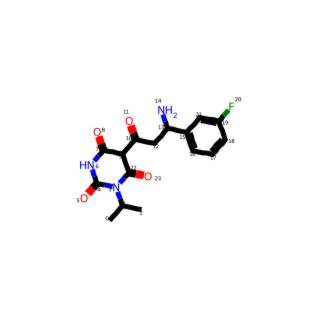 CC(C)N1C(=O)NC(=O)C(C(=O)CC(N)c2cccc(F)c2)C1=O